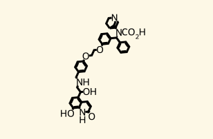 O=C(O)N(C1CN2CCC1CC2)[C@@H](c1ccccc1)c1cccc(OCCOc2ccc(CNCC(O)c3ccc(O)c4[nH]c(=O)ccc34)cc2)c1